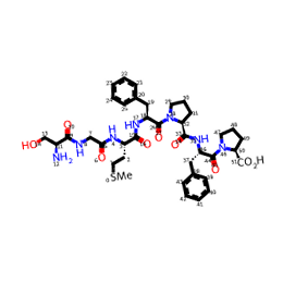 CSCC[C@H](NC(=O)CNC(=O)[C@@H](N)CO)C(=O)N[C@@H](Cc1ccccc1)C(=O)N1CCC[C@H]1C(=O)N[C@@H](Cc1ccccc1)C(=O)N1CCC[C@H]1C(=O)O